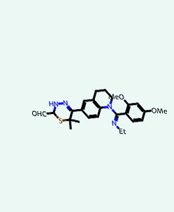 CCN=C(c1ccc(OC)cc1OC)N1CCCc2cc(C3=NNC(C=O)SC3(C)C)ccc21